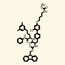 CCc1cc(OCCCCNC(=O)OC(C)(C)C)ccc1-c1ccc(CC(NC(=O)OCC2c3ccccc3-c3ccccc32)C(=O)NC(CCCc2cc(C)cc(C)c2)C(=O)Nc2ccccc2)cc1